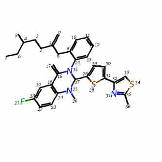 C=C(CCC(C)CC)Cc1ccccc1N1C(=C)c2cc(F)ccc2N(C)C1c1ccc(-c2csc(C)n2)s1